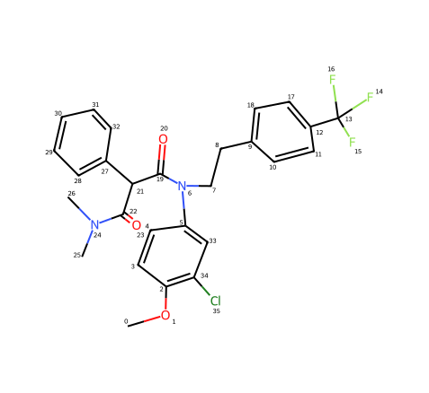 COc1ccc(N(CCc2ccc(C(F)(F)F)cc2)C(=O)C(C(=O)N(C)C)c2ccccc2)cc1Cl